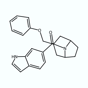 O=C(c1ccc2cc[nH]c2c1)N1C2CCC1CC(COc1ccccc1)C2